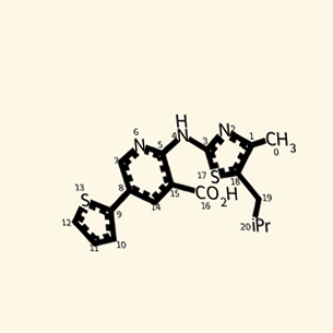 Cc1nc(Nc2ncc(-c3cccs3)cc2C(=O)O)sc1CC(C)C